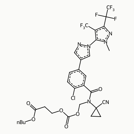 CCCCOC(=O)CCOC(=O)OCN(C(=O)c1cc(-c2cnn(-c3c(C(F)(F)F)c(C(F)(F)C(F)(F)F)nn3C)c2)ccc1Cl)C1(C#N)CC1